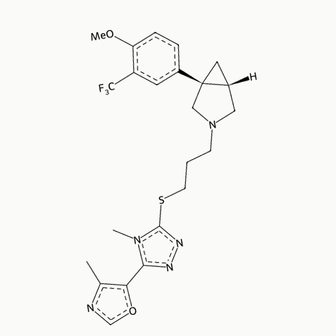 COc1ccc([C@@]23C[C@@H]2CN(CCCSc2nnc(-c4ocnc4C)n2C)C3)cc1C(F)(F)F